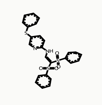 O=S(=O)(C(=CNc1ccc(Sc2ccccc2)cn1)S(=O)(=O)c1ccccc1)c1ccccc1